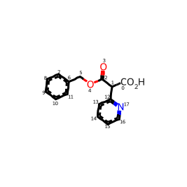 O=C(O)C(C(=O)OCc1ccccc1)c1ccccn1